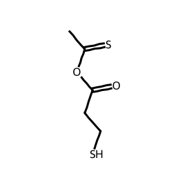 CC(=S)OC(=O)CCS